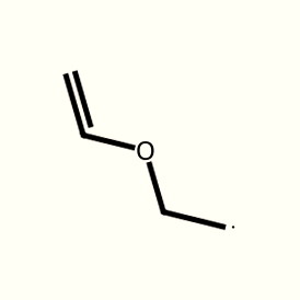 [CH2]COC=C